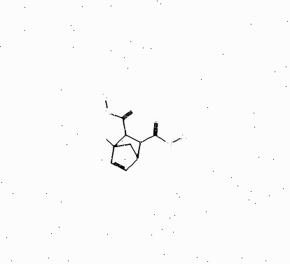 NNC(=O)C1C2C=CC(O)(C2)C1C(=O)NN